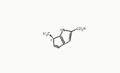 C[C@@H]1C=Cc2cc(C(=O)O)[nH]c21